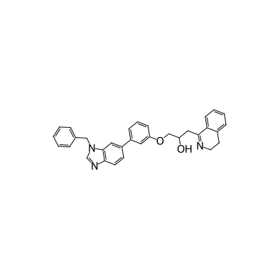 OC(COc1cccc(-c2ccc3ncn(Cc4ccccc4)c3c2)c1)CC1=NCCc2ccccc21